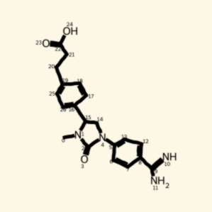 CN1C(=O)N(c2ccc(C(=N)N)cc2)CC1c1ccc(CCC(=O)O)cc1